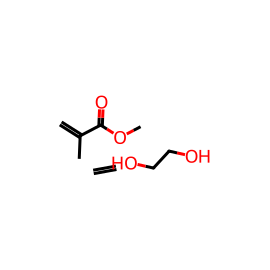 C=C.C=C(C)C(=O)OC.OCCO